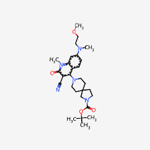 COCCN(C)c1ccc2c(N3CCC4(CCN(C(=O)OC(C)(C)C)C4)CC3)c(C#N)c(=O)n(C)c2c1